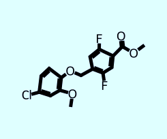 COC(=O)c1cc(F)c(COc2ccc(Cl)cc2OC)cc1F